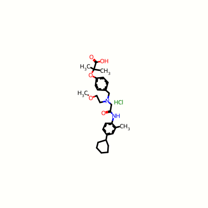 COCCN(CC(=O)Nc1ccc(C2CCCCC2)cc1C)Cc1ccc(OC(C)(C)C(=O)O)cc1.Cl